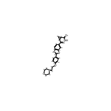 O=C1NN=C(c2ccc3nc(-c4ccc(OCCN5CCOCC5)cc4)oc3c2)C2CC12